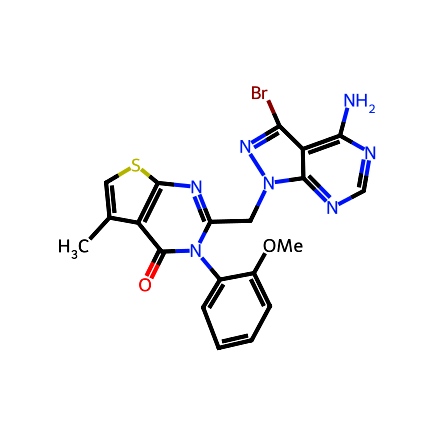 COc1ccccc1-n1c(Cn2nc(Br)c3c(N)ncnc32)nc2scc(C)c2c1=O